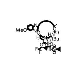 COc1ccc2nc3c(nc2c1)O[C@H]1CN(C(=O)[C@H](C(C)(C)C)NC(=O)O[C@H](C)CCCCCC3)[C@H](C(=O)N[C@]2(C(=O)NS(=O)(=O)C3CC3)C[C@H]2CC(F)F)[C@@H]1C